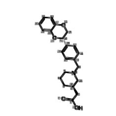 O=C(O)C[C@H]1CCCN(Cc2ccc([C@H]3COc4ccccc4O3)cc2)C1